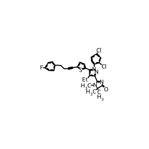 CCc1c(C2=NC(=O)C(C)(C)N2C)nn(-c2ccc(Cl)cc2Cl)c1-c1ccc(C#CCCc2ccc(F)cc2)s1